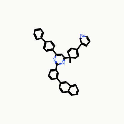 CC1(c2cc(-c3ccc(-c4ccccc4)cc3)nc(-c3cccc(-c4ccc5ccccc5c4)c3)n2)C=CC(c2cccnc2)=CC1